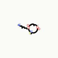 CC(/C=C/CC[C@@H]1Cc2nc(cs2)CCCCC(=O)O[C@@H](C)C/C(C)=C/C=C\C(=O)O1)=C\CN(C)C